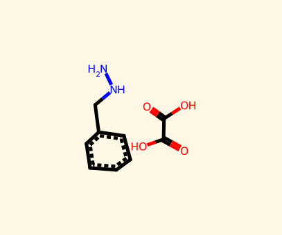 NNCc1ccccc1.O=C(O)C(=O)O